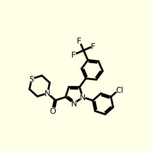 O=C(c1cc(-c2cccc(C(F)(F)F)c2)n(-c2cccc(Cl)c2)n1)N1CCSCC1